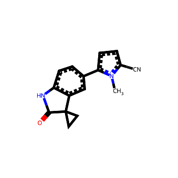 Cn1c(C#N)ccc1-c1ccc2c(c1)C1(CC1)C(=O)N2